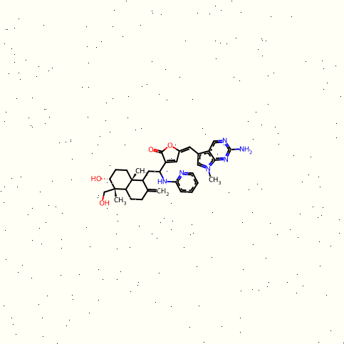 C=C1CCC2[C@](C)(CC[C@@H](O)[C@@]2(C)CO)C1CC(Nc1ccccn1)C1=C/C(=C\c2cn(C)c3nc(N)ncc23)OC1=O